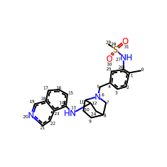 Cc1ccc(CN2CC3CCC2C(Nc2cccc4cnccc24)C3)cc1NS(C)(=O)=O